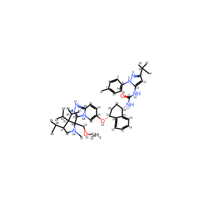 Cc1ccc(-n2nc(C(C)(C)C)cc2NC(=O)N[C@H]2CC[C@@H](Oc3ccc4nnc(C5(CO[SiH3])N(C)CC(C(C)C)C5(C(C)C)C(C)C)n4c3)c3ccccc32)cc1